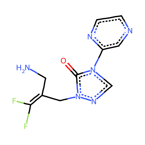 NCC(Cn1ncn(-c2cnccn2)c1=O)=C(F)F